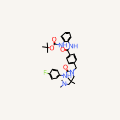 CN(C)CC(C)(C)CN(Cc1ccc(C(=O)Nc2ccccc2NC(=O)OC(C)(C)C)cc1)C(=O)Nc1ccc(F)cc1